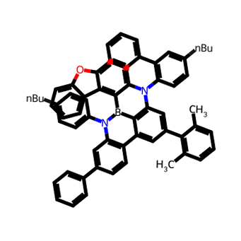 CCCCc1ccc(N2B3c4c(cc(-c5c(C)cccc5C)cc4N(c4ccc(CCCC)cc4-c4ccccc4)c4ccc5oc6ccccc6c5c43)-c3ccc(-c4ccccc4)cc32)cc1